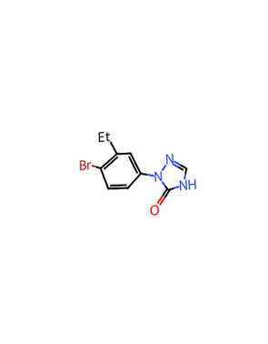 CCc1cc(-n2nc[nH]c2=O)ccc1Br